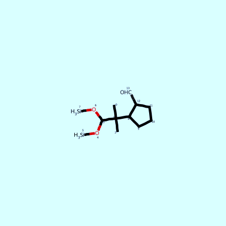 CC(C)(C(O[SiH3])O[SiH3])C1CCCC1C=O